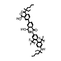 CCCCC(C)(CC)Nc1ccc(-c2ccc(NC(=O)c3ccc(-c4ccc(C(=O)C(C)(CC)CCCC)c(C(=O)O)c4)cc3C(=O)O)cc2C(F)(F)F)c(C(F)(F)F)c1